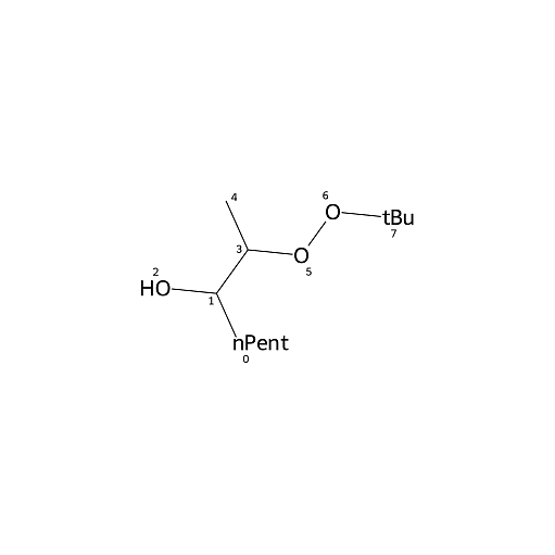 CCCCCC(O)C(C)OOC(C)(C)C